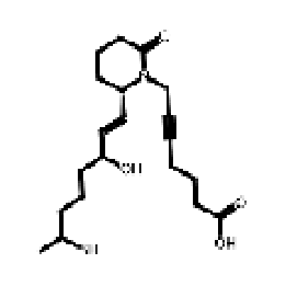 CC(S)CCCC(O)/C=C/[C@H]1CCCC(=O)N1CC#CCCCC(=O)O